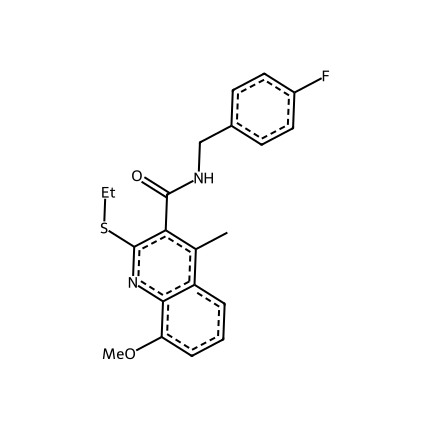 CCSc1nc2c(OC)cccc2c(C)c1C(=O)NCc1ccc(F)cc1